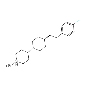 CCC[SiH]1CCC([C@H]2CC[C@H](CCc3ccc(F)cc3)CC2)CC1